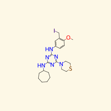 COc1ccc(Nc2nc(NC3CCCCCC3)nc(N3CCSCC3)n2)cc1CI